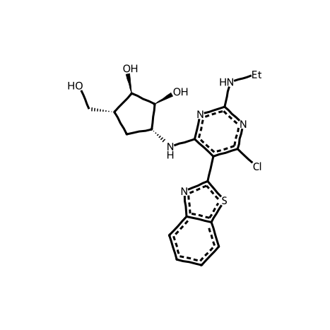 CCNc1nc(Cl)c(-c2nc3ccccc3s2)c(N[C@@H]2C[C@H](CO)[C@@H](O)[C@H]2O)n1